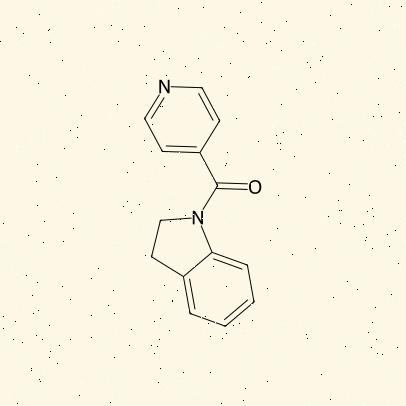 O=C(c1ccncc1)N1CCc2ccccc21